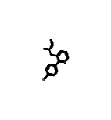 C[CH]C(C)Cc1cccnc1-c1ccc(Cl)cc1